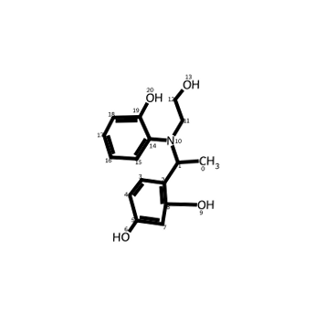 CC(c1ccc(O)cc1O)N(CCO)c1ccccc1O